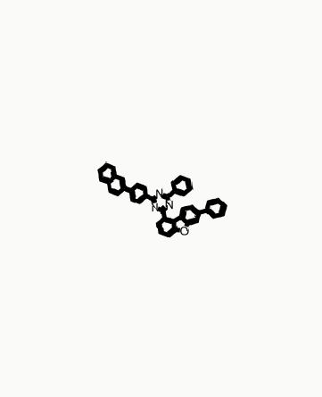 c1ccc(-c2ccc3c(c2)oc2cccc(-c4nc(-c5ccccc5)nc(-c5ccc(-c6ccc7ccccc7c6)cc5)n4)c23)cc1